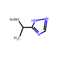 CC(=O)NC(C)c1ncn[nH]1